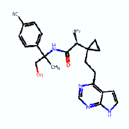 CCC[C@H](C(=O)NC(C)(CO)c1ccc(C#N)cc1)C1(CCc2ncnc3[nH]ccc23)CC1